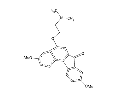 COc1ccc2c(c1)C(=O)c1cc(OCCN(C)C)c3cc(OC)ccc3c1-2